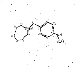 CNc1ccc(CN2CCCCCC2)cc1